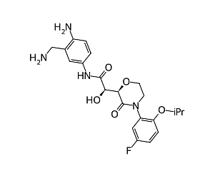 CC(C)Oc1ccc(F)cc1N1CCO[C@H]([C@@H](O)C(=O)Nc2ccc(N)c(CN)c2)C1=O